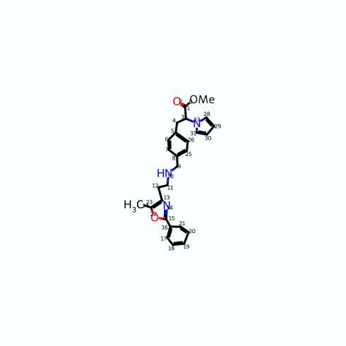 COC(=O)C(Cc1ccc(CNCCc2nc(-c3ccccc3)oc2C)cc1)n1cccc1